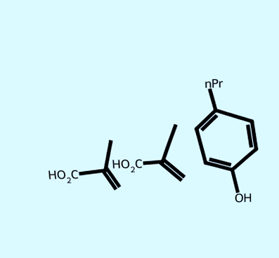 C=C(C)C(=O)O.C=C(C)C(=O)O.CCCc1ccc(O)cc1